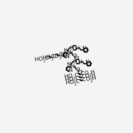 CCOCCn1c(CN2CCN(CCc3ccccn3)CC2)nc2cccnc21.CCOCCn1c(CN2CCN(CCc3ccccn3)CC2)nc2cccnc21.O=C(O)C=CC(=O)O.O=C(O)C=CC(=O)O.O=C(O)C=CC(=O)O.O=C(O)C=CC(=O)O.O=C(O)C=CC(=O)O